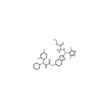 CCOC(=O)C1(OC(c2cc3cc(CC(=O)NC(c4ccccc4)c4ccc(C)cc4C)ccc3o2)c2c(C)noc2C)CC1